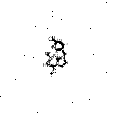 COC(=N)N1CCN(Cc2ccc(Cl)nc2)/C1=N/[N+](=O)[O-]